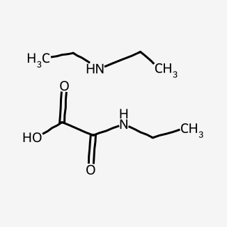 CCNC(=O)C(=O)O.CCNCC